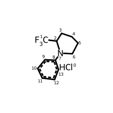 Cl.FC(F)(F)C1CCCCN1c1ccccc1